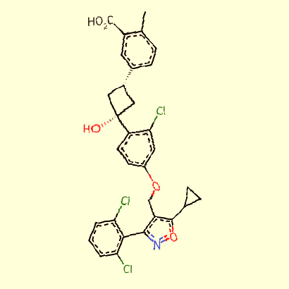 Cc1ccc([C@H]2C[C@](O)(c3ccc(OCc4c(-c5c(Cl)cccc5Cl)noc4C4CC4)cc3Cl)C2)cc1C(=O)O